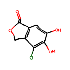 O=C1OCc2c1cc(O)c(O)c2Cl